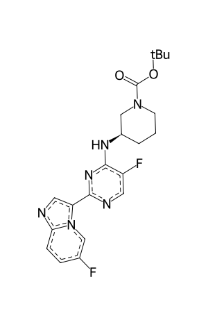 CC(C)(C)OC(=O)N1CCC[C@@H](Nc2nc(-c3cnc4ccc(F)cn34)ncc2F)C1